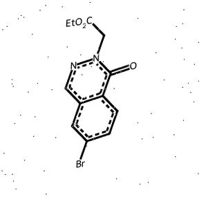 CCOC(=O)Cn1ncc2cc(Br)ccc2c1=O